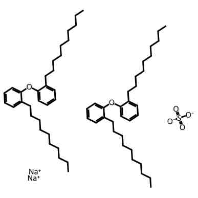 CCCCCCCCCCc1ccccc1Oc1ccccc1CCCCCCCCCC.CCCCCCCCCCc1ccccc1Oc1ccccc1CCCCCCCCCC.O=S(=O)([O-])[O-].[Na+].[Na+]